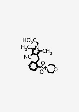 Cc1c(C#N)c(Cc2ccccc2S(=O)(=O)N2CCOCC2)c(C)n1CC(=O)O